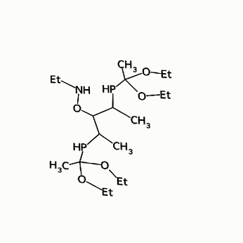 CCNOC(C(C)PC(C)(OCC)OCC)C(C)PC(C)(OCC)OCC